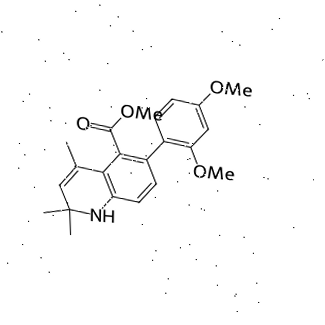 COC(=O)c1c(-c2ccc(OC)cc2OC)ccc2c1C(C)=CC(C)(C)N2